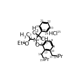 CCOC(C)N(Oc1cccc(CC(C)C)c1CC(C)C)C(C)(C)c1ccccc1.Cl